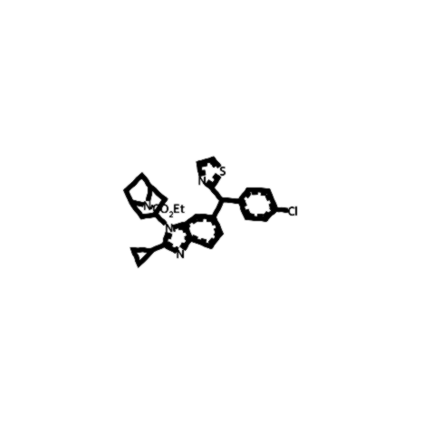 CCOC(=O)N1C2CCC1CC(n1c(C3CC3)nc3ccc(C(c4ccc(Cl)cc4)c4nccs4)cc31)C2